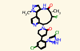 C[C@H]1C(=O)Nc2cnn(C)c2-c2ccnc(c2)[C@@H](N2CCC(c3cc(Cl)ccc3N3C=C(Cl)NN3)=CC2=O)CCC1F